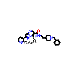 COc1ncccc1-c1cc2ncc(C(=O)NCCC3CCN(Cc4ccccc4)CC3)c(C)n2n1